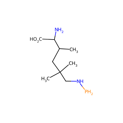 CC(CC(C)(C)CNP)C(N)C(=O)O